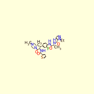 CCn1nccc1C(=O)N[C@@H](C)C(=O)Nc1ccc([C@H](C)[C@@H](NC(=O)c2cccs2)C(=O)N2CCN(C)CC2)cc1F